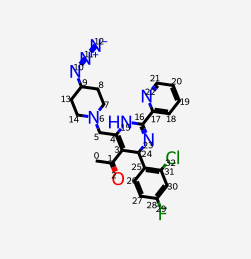 CC(=O)C1=C(CN2CCC(N=[N+]=[N-])CC2)NC(c2ccccn2)=NC1c1ccc(F)cc1Cl